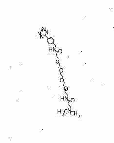 CN(C)CCC(=O)NCCOCCOCCOCCOCCC(=O)NCc1ccc(-c2nncnn2)cc1